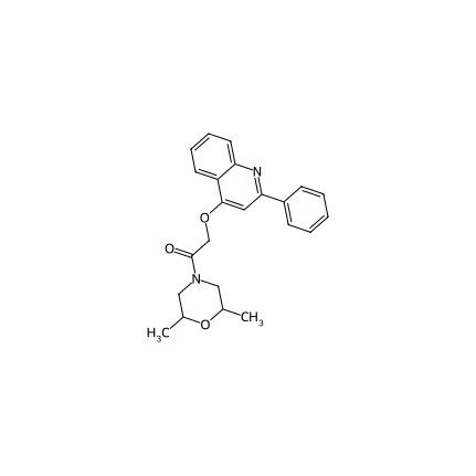 CC1CN(C(=O)COc2cc(-c3ccccc3)nc3ccccc23)CC(C)O1